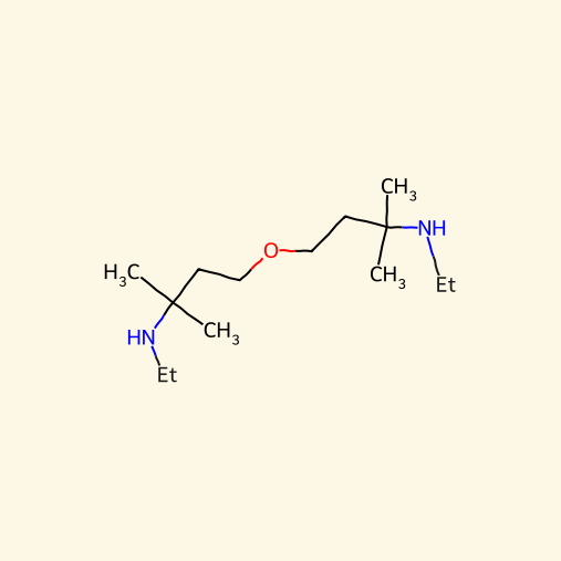 CCNC(C)(C)CCOCCC(C)(C)NCC